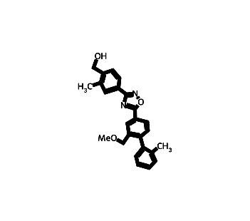 COCc1cc(-c2nc(-c3ccc(CO)c(C)c3)no2)ccc1-c1ccccc1C